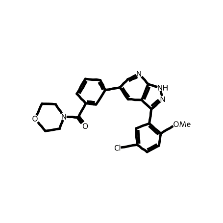 COc1ccc(Cl)cc1-c1n[nH]c2ncc(-c3cccc(C(=O)N4CCOCC4)c3)cc12